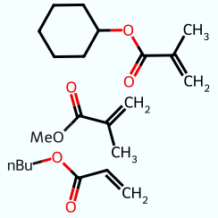 C=C(C)C(=O)OC.C=C(C)C(=O)OC1CCCCC1.C=CC(=O)OCCCC